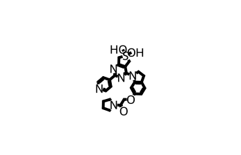 O=C(COc1ccc2c(c1)N(c1nc(-c3ccncc3)nc3c1CS(O)(O)C3)CC2)N1CCCC1